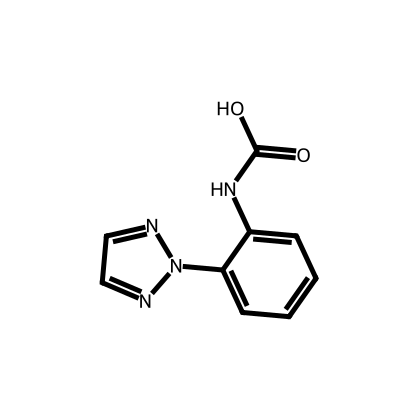 O=C(O)Nc1ccccc1-n1nccn1